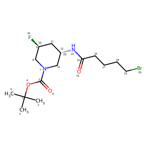 CC(C)(C)OC(=O)N1C[C@@H](F)C[C@H](NC(=O)CCCCBr)C1